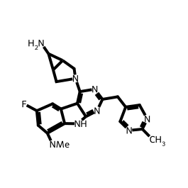 CNc1cc(F)cc2c1[nH]c1nc(Cc3cnc(C)nc3)nc(N3CC4C(N)C4C3)c12